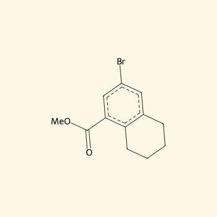 COC(=O)c1cc(Br)cc2c1CCCC2